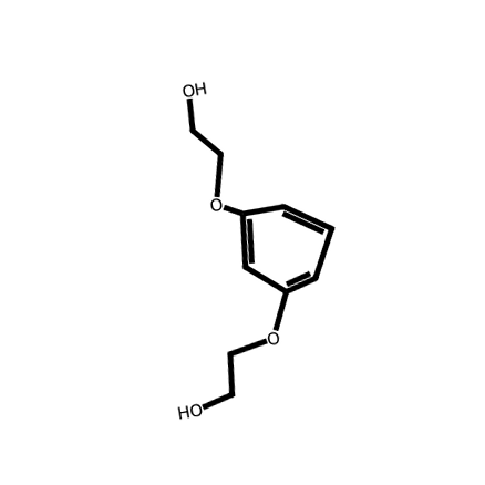 OCCOc1cccc(OCCO)c1